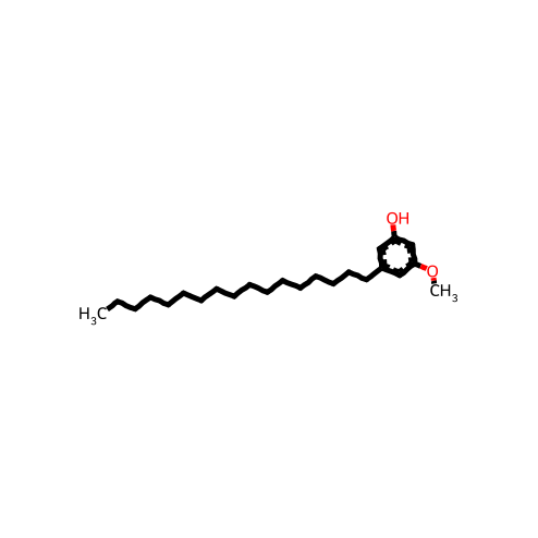 CCCCCCCCCCCCCCCCCc1cc(O)cc(OC)c1